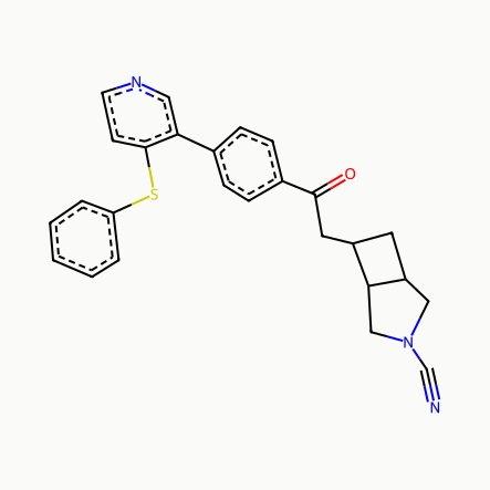 N#CN1CC2CC(CC(=O)c3ccc(-c4cnccc4Sc4ccccc4)cc3)C2C1